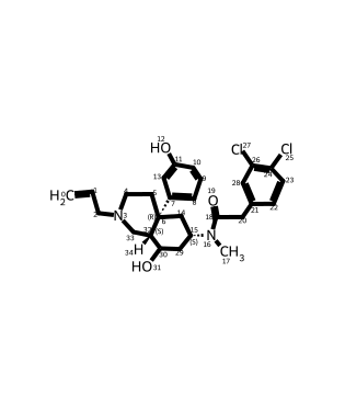 C=CCN1CC[C@@]2(c3cccc(O)c3)C[C@H](N(C)C(=O)Cc3ccc(Cl)c(Cl)c3)CC(O)[C@@H]2C1